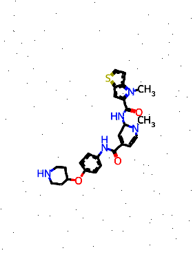 CN1C=CC(C(=O)Nc2ccc(OC3CCNCC3)cc2)=CC1NC(=O)c1cc2sccc2n1C